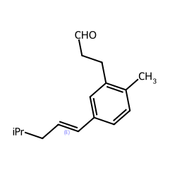 Cc1ccc(/C=C/CC(C)C)cc1CCC=O